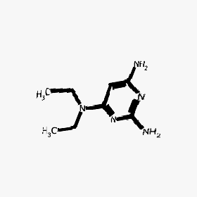 CCN(CC)c1cc(N)nc(N)n1